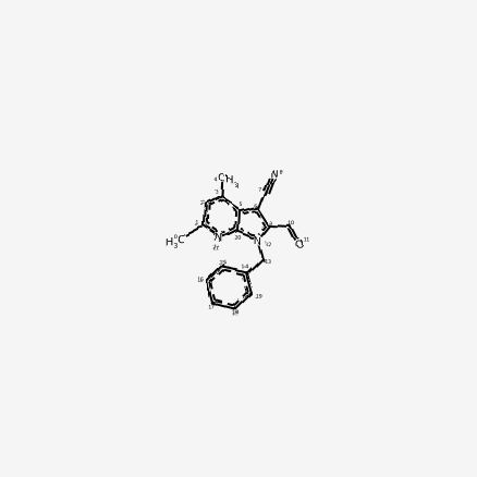 Cc1cc(C)c2c(C#N)c(C=O)n(Cc3ccccc3)c2n1